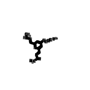 CNN=Cc1cc(Cl)cc(C=NNC)n1.[Cl-].[Cl-].[Cl-].[V+3]